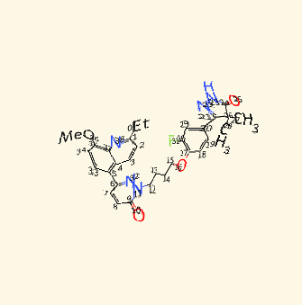 CCc1ccc2c(-c3ccc(=O)n(CCCCOc4ccc(C5=NNC(=O)C5(C)C)cc4F)n3)ccc(OC)c2n1